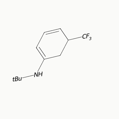 CC(C)(C)NC1=CC=CC(C(F)(F)F)C1